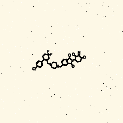 O=C1CCC(N2C(=O)c3ccc(CN4CCN(CC5=C(c6ccc(Cl)cc6)CCC(F)(F)C5)CC4)cc3C2=O)C(=O)N1